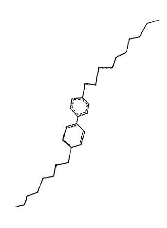 CCCCCCCCCCc1ccc(C2=CCC(CCCCCCCC)C=C2)cc1